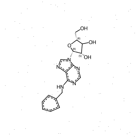 OC[C@H]1O[C@@H](n2cnc3c(NCc4ccccc4)ncnc32)[C@@H](O)C1O